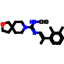 C/C(=C\N=C(/NC=O)N1CCC2(CCOC2)CC1)c1cccc(C)c1C